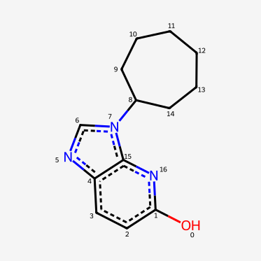 Oc1ccc2ncn(C3CCCCCC3)c2n1